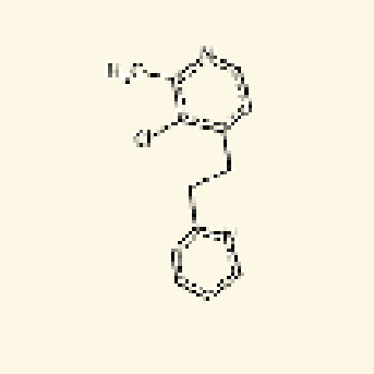 Cc1nccc(CCc2ccccn2)c1Cl